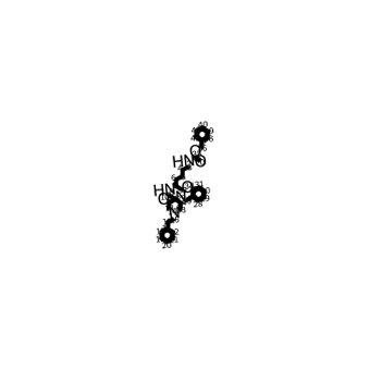 O=C(NCCCCC1NC(=O)C2(CCN(CCc3ccccc3)CC2)N(Cc2ccccc2)C1=O)OCc1ccccc1